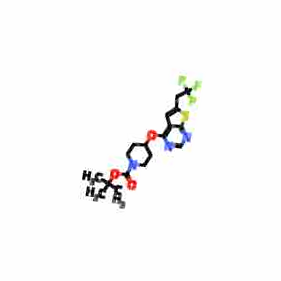 CC(C)(C)OC(=O)N1CCC(Oc2ncnc3sc(CC(F)(F)F)cc23)CC1